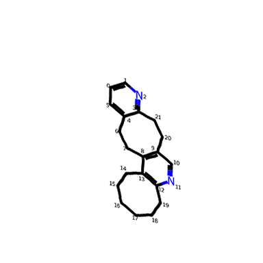 c1cnc2c(c1)CCc1c(cnc3c1CCCCCC3)CC2